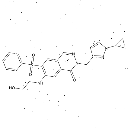 O=c1c2cc(NCCO)c(S(=O)(=O)c3ccccc3)cc2cnn1Cc1ccn(C2CC2)n1